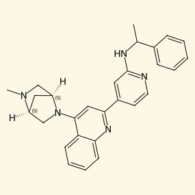 CC(Nc1cc(-c2cc(N3C[C@@H]4C[C@H]3CN4C)c3ccccc3n2)ccn1)c1ccccc1